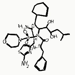 CC(C)CC(O)C(O)C(CC1CCCCC1)N(C(=O)[C@@H](N)Cc1ccccc1)[C@@](Cc1csc(N)n1)(C(N)=O)S(=O)(=O)N1CCOCC1